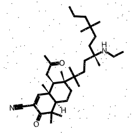 CCCC(C)(C)CC[C@@](C)(CCC(C)(C)[C@]1(C)CC[C@H]2C(C)(C)C(=O)C(C#N)=C[C@]2(C)[C@H]1CC(C)=O)NCC